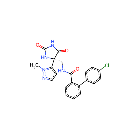 Cn1nccc1[C@@]1(CNC(=O)c2ccccc2-c2ccc(Cl)cc2)NC(=O)NC1=O